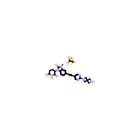 Cn1c(=O)n(C2CCC(=O)NC2=O)c2ccc(C#Cc3cnc(N4CC5(CNC5)C4)nc3)cc21.O=C(O)C(F)(F)F